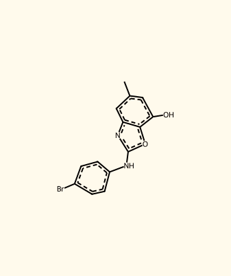 Cc1cc(O)c2oc(Nc3ccc(Br)cc3)nc2c1